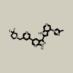 Cc1cn(-c2cncc3[nH]c(-c4n[nH]c5ncc(-c6cncc(CN7CCC(F)(F)C7)c6)cc45)cc23)cn1